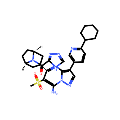 CS(=O)(=O)c1c([C@@H]2C[C@H]3CC[C@@H](C2)N3C(=O)c2nnc[nH]2)nc2c(-c3ccc(C4CCCCC4)nc3)cnn2c1N